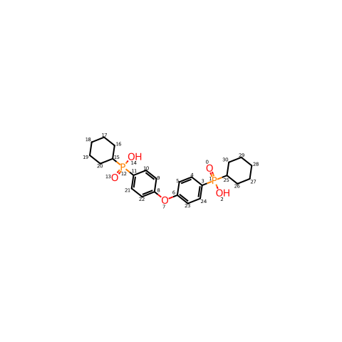 O=P(O)(c1ccc(Oc2ccc(P(=O)(O)C3CCCCC3)cc2)cc1)C1CCCCC1